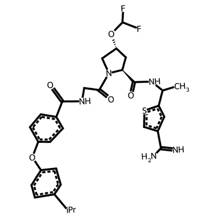 CC(C)c1ccc(Oc2ccc(C(=O)NCC(=O)N3C[C@H](OC(F)F)C[C@H]3C(=O)NC(C)c3cc(C(=N)N)cs3)cc2)cc1